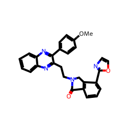 COc1ccc(-c2nc3ccccc3nc2CCN2Cc3c(cccc3-c3ncco3)C2=O)cc1